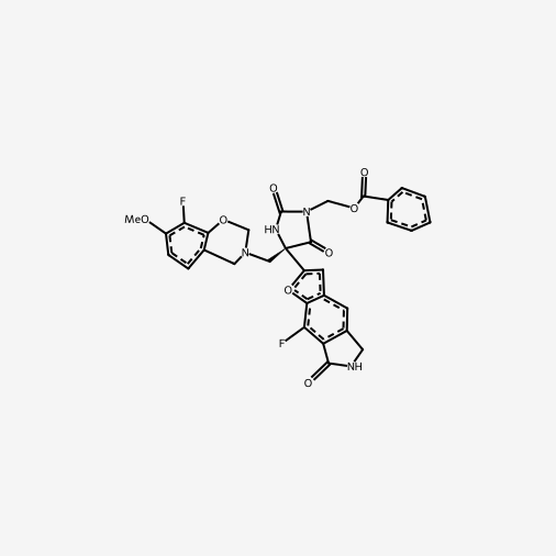 COc1ccc2c(c1F)OCN(C[C@@]1(c3cc4cc5c(c(F)c4o3)C(=O)NC5)NC(=O)N(COC(=O)c3ccccc3)C1=O)C2